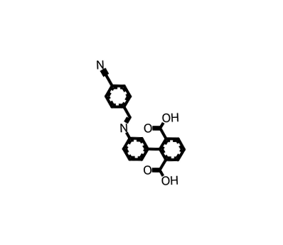 N#Cc1ccc(/C=N/c2cccc(-c3c(C(=O)O)cccc3C(=O)O)c2)cc1